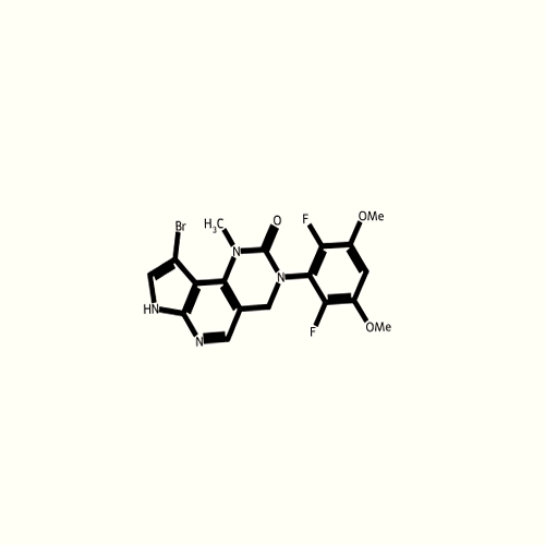 COc1cc(OC)c(F)c(N2Cc3cnc4[nH]cc(Br)c4c3N(C)C2=O)c1F